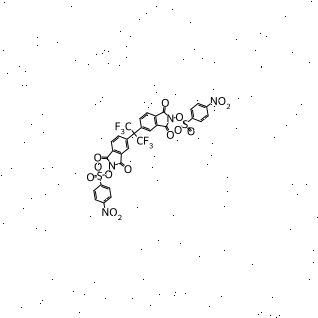 O=C1c2ccc(C(c3ccc4c(c3)C(=O)N(OS(=O)(=O)c3ccc([N+](=O)[O-])cc3)C4=O)(C(F)(F)F)C(F)(F)F)cc2C(=O)N1OS(=O)(=O)c1ccc([N+](=O)[O-])cc1